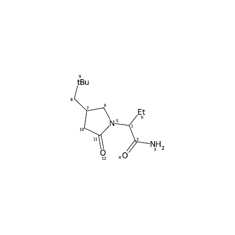 CCC(C(N)=O)N1CC(CC(C)(C)C)CC1=O